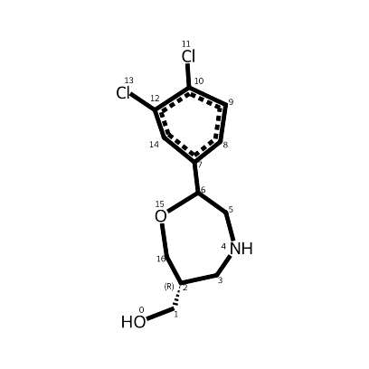 OC[C@H]1CNCC(c2ccc(Cl)c(Cl)c2)OC1